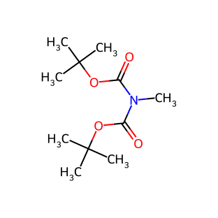 CN(C(=O)OC(C)(C)C)C(=O)OC(C)(C)C